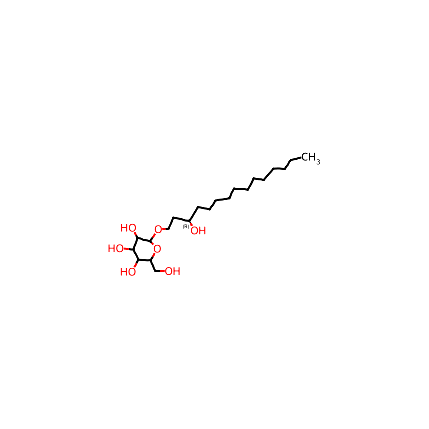 CCCCCCCCCCCC[C@@H](O)CCOC1OC(CO)C(O)C(O)C1O